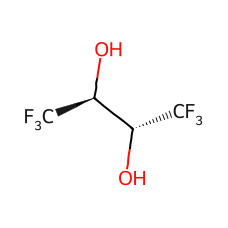 O[C@H]([C@H](O)C(F)(F)F)C(F)(F)F